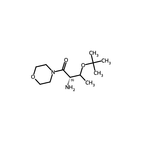 CC(OC(C)(C)C)[C@H](N)C(=O)N1CCOCC1